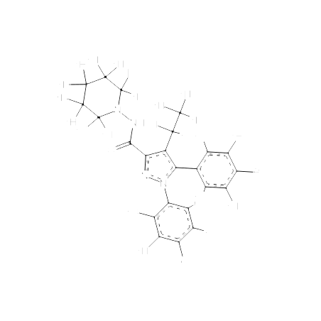 [2H]c1c([2H])c(-n2nc(C(=O)NN3C([2H])([2H])C([2H])([2H])C([2H])([2H])C([2H])([2H])C3([2H])[2H])c(C([2H])([2H])C([2H])([2H])[2H])c2-c2c([2H])c([2H])c(Br)c([2H])c2[2H])c(Cl)c([2H])c1Cl